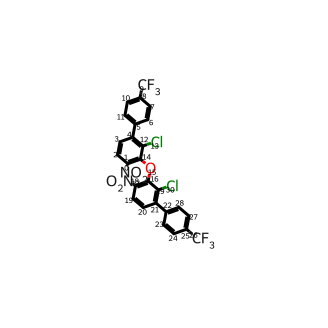 O=[N+]([O-])c1ccc(-c2ccc(C(F)(F)F)cc2)c(Cl)c1Oc1c([N+](=O)[O-])ccc(-c2ccc(C(F)(F)F)cc2)c1Cl